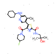 Cc1cc(NC2CCCCC2)ncc1-c1sc(C(=O)NCC(C)(C)O)nc1C(=O)N1CCC(F)CC1